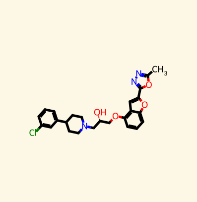 Cc1nnc(-c2cc3c(OC[C@@H](O)CN4CCC(c5cccc(Cl)c5)CC4)cccc3o2)o1